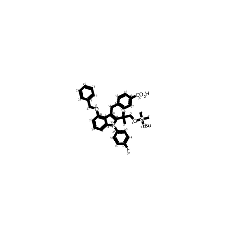 CC(C)(CO[Si](C)(C)C(C)(C)C)c1c(Cc2ccc(C(=O)O)cc2)c2c(OCc3ccccc3)cccc2n1-c1ccc(F)cc1